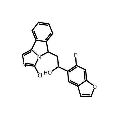 OC(CC1c2ccccc2-c2cnc(Cl)n21)c1cc2ccoc2cc1F